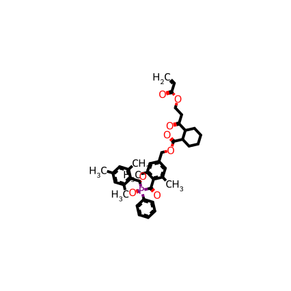 C=CC(=O)OCCC(=O)C1CCCCC1C(=O)OCc1cc(C)c(C(=O)P(=O)(C(=O)c2c(C)cc(C)cc2C)c2ccccc2)c(C)c1